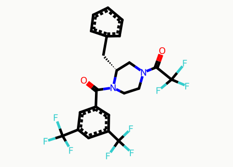 O=C(c1cc(C(F)(F)F)cc(C(F)(F)F)c1)N1CCN(C(=O)C(F)(F)F)C[C@H]1Cc1ccccc1